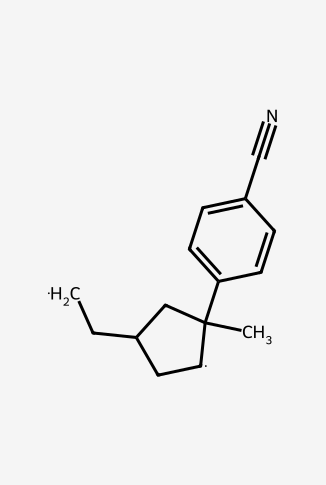 [CH2]CC1C[CH]C(C)(c2ccc(C#N)cc2)C1